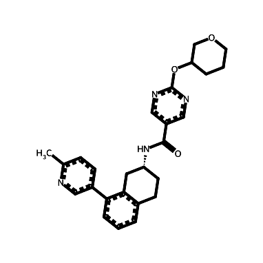 Cc1ccc(-c2cccc3c2C[C@H](NC(=O)c2cnc(OC4CCCOC4)nc2)CC3)cn1